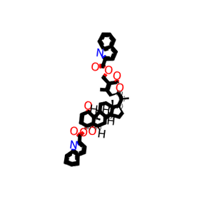 CC1=C(COC(=O)c2ccc3ccccc3n2)C(=O)O[C@@H]([C@@H](C)[C@H]2CC[C@H]3[C@@H]4C[C@H]5O[C@]56[C@@H](OC(=O)c5ccc7ccccc7n5)C=CC(=O)[C@]6(C)[C@H]4CC[C@]23C)C1